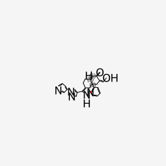 C[C@@H]1C(=O)C(=CO)C[C@]2(c3ccccc3)c3n[nH]c(-c4cnn(-c5cccnc5)c4)c3CC[C@@H]12